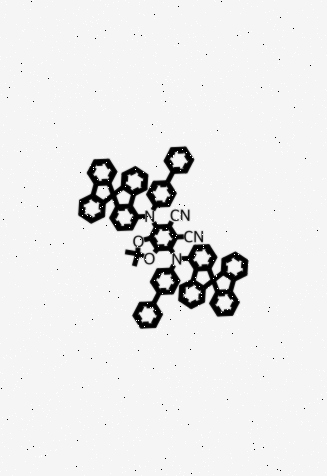 CC1(C)Oc2c(c(N(c3ccc(-c4ccccc4)cc3)c3cccc4c3-c3ccccc3C43c4ccccc4-c4ccccc43)c(C#N)c(C#N)c2N(c2ccc(-c3ccccc3)cc2)c2cccc3c2-c2ccccc2C32c3ccccc3-c3ccccc32)O1